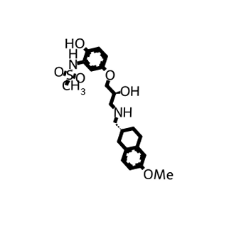 COc1ccc2c(c1)CC[C@@H](CNC[C@H](O)COc1ccc(O)c(NS(C)(=O)=O)c1)C2